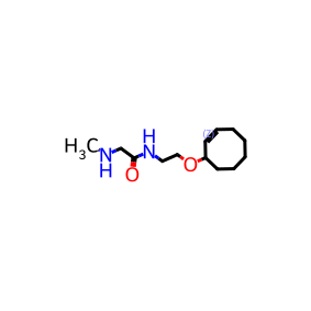 CNCC(=O)NCCOC1/C=C\CCCCC1